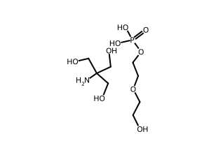 NC(CO)(CO)CO.O=P(O)(O)OCCOCCO